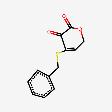 O=C1OCC=C(SCc2ccccc2)C1=O